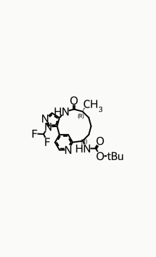 C[C@@H]1CCC[C@@H](NC(=O)OC(C)(C)C)c2cc(ccn2)-c2c(cnn2C(F)F)NC1=O